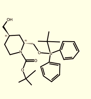 CC(C)(C)OC(=O)N1CC[C@@H](CO)C[C@@H]1CO[Si](c1ccccc1)(c1ccccc1)C(C)(C)C